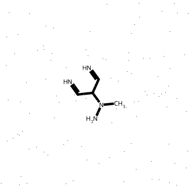 CN(N)C(C=N)C=N